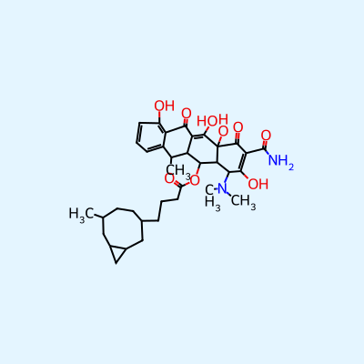 CC1CCC(CCCC(=O)OC2C3C(=C(O)C4(O)C(=O)C(C(N)=O)=C(O)C(N(C)C)C24)C(=O)c2c(O)cccc2C3C)CC2CC2C1